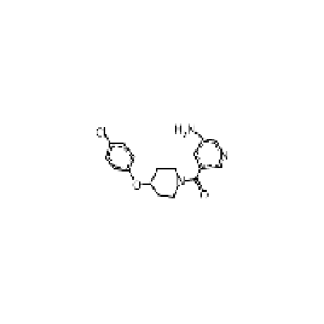 Nc1cncc(C(=O)N2CCC(Oc3ccc(Cl)cc3)CC2)c1